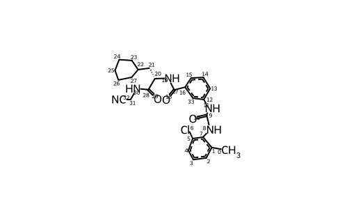 Cc1cccc(Cl)c1NC(=O)Nc1cccc(C(=O)N[C@@H](CC2CCCCC2)C(=O)NCC#N)c1